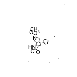 COC(=O)CN1CCc2c(-c3ccccc3)cc3c(c2C1)NC(=O)C3=O